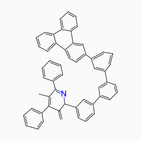 C=C1C(c2ccccc2)=C(C)C(c2ccccc2)=NC1c1cccc(-c2cccc(-c3cccc(-c4ccc5c6ccccc6c6ccccc6c5c4)c3)c2)c1